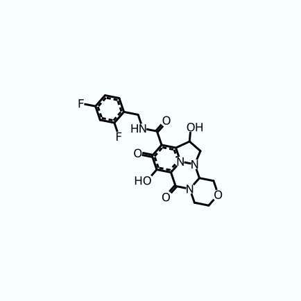 O=C(NCc1ccc(F)cc1F)c1c2n3c(c(O)c1=O)C(=O)N1CCOCC1N3CC2O